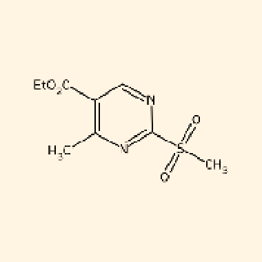 CCOC(=O)c1cnc(S(C)(=O)=O)nc1C